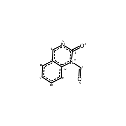 O=Cn1c(=O)ncc2ccccc21